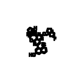 CCc1cccc2cc(O)cc(-c3cc4nc(OC[C@]56CCCN5C[C@@H](F)C6)nc5c4c(n3)OC[C@@H]3[C@H]4CC[C@@H](CN53)N4)c12